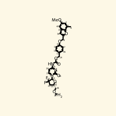 COc1cc(C)c2oc(COc3ccc(COC(=O)Nc4ccn(C5O[C@H](COP)CC5(F)F)c(=O)n4)cc3)cc2c1